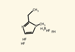 B.CCc1nccn1C.F.F.F.F